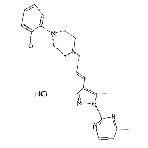 Cc1ccnc(-n2ncc(/C=C/CN3CCN(c4ccccc4Cl)CC3)c2C)n1.Cl